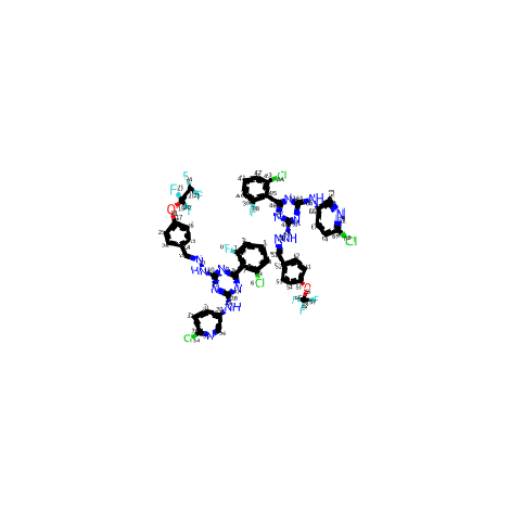 Fc1cccc(Cl)c1-c1nc(N/N=C/c2ccc(OC(F)(F)C(F)F)cc2)nc(Nc2ccc(Cl)nc2)n1.Fc1cccc(Cl)c1-c1nc(N/N=C\c2ccc(OC(F)(F)F)cc2)nc(Nc2ccc(Cl)nc2)n1